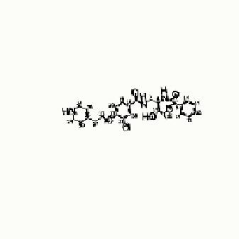 O=C(NCC(NS(=O)(=O)c1ccccc1)C(=O)O)c1ccc(OCCC2CCNCC2)c(Cl)c1